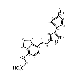 O=C(O)COc1ccc(SCc2cc(-c3ccc(C(F)(F)F)cc3)no2)c2c1CCC2